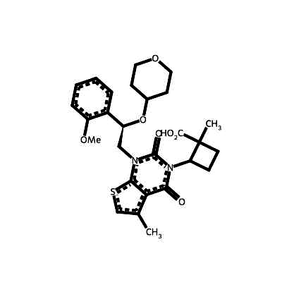 COc1ccccc1[C@H](Cn1c(=O)n(C2CCC2(C)C(=O)O)c(=O)c2c(C)csc21)OC1CCOCC1